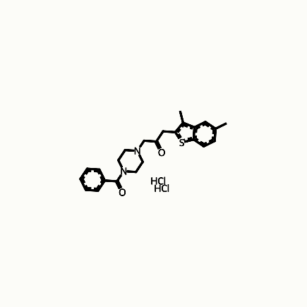 Cc1ccc2sc(CC(=O)CN3CCN(C(=O)c4ccccc4)CC3)c(C)c2c1.Cl.Cl